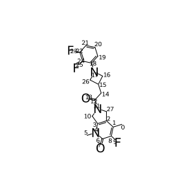 Cc1c2c(n(C)c(=O)c1F)CN(C(=O)CC1CN(c3cccc(F)c3F)C1)C2